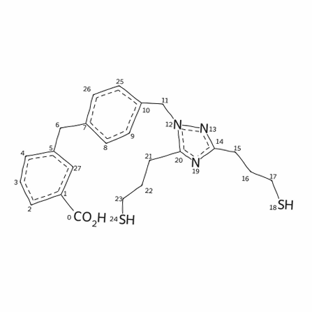 O=C(O)c1cccc(Cc2ccc(Cn3nc(CCCS)nc3CCCS)cc2)c1